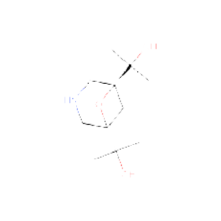 CC(C)(O)[C@@]12CNC[C@](C(C)(C)O)(C1)O2